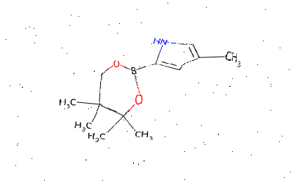 Cc1c[nH]c(B2OCC(C)(C)C(C)(C)O2)c1